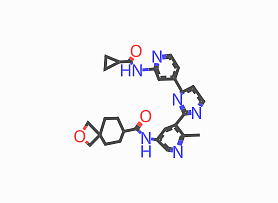 Cc1ncc(NC(=O)C2CCC3(CC2)COC3)cc1-c1nccc(-c2ccnc(NC(=O)C3CC3)c2)n1